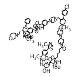 Cc1ncsc1-c1ccc([C@H](C)NC(=O)[C@@H]2C[C@@H](O)CN2C(=O)[C@@H](NC(=O)CCCCC(=O)N2CCC(N3CCN(C[C@]4(C)CCC(c5ccc(Cl)cc5)=C(CN5CCN(c6ccc(C(=O)NS(=O)(=O)c7ccc(N[C@H](CCN8CCCOCC8)CSc8ccccc8)c(S(=O)(=O)C(F)(F)F)c7)cc6)CC5)C4)CC3)CC2)C(C)(C)C)cc1